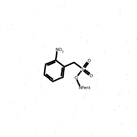 CCCCCOS(=O)(=O)Cc1ccccc1[N+](=O)[O-]